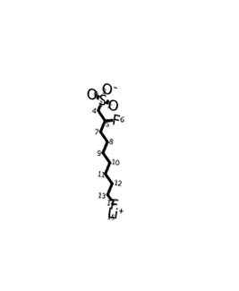 O=S(=O)([O-])CC(F)CCCCCCCF.[Li+]